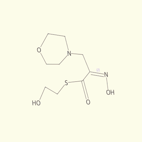 O=C(SCCO)/C(CN1CCOCC1)=N\O